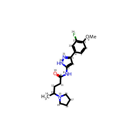 COc1ccc(-c2cc(NC(=O)CCC(C)N3CCCC3)[nH]n2)cc1F